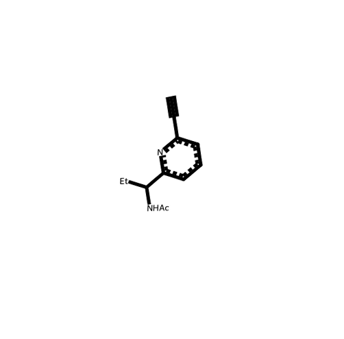 C#Cc1cccc(C(CC)NC(C)=O)n1